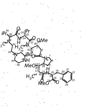 CC[C@H](C)[C@@H]([C@@H](CC(=O)N1CCC[C@H]1[C@H](OC)[C@@H](C)C(=O)N[C@@H](Cc1ccccc1)C(=O)OC)OC)N(C)C(=O)[C@@H](NC(=O)[C@H](C(C)C)N(C)CCN1CCNCC1)C(C)C